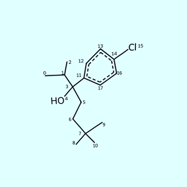 CC(C)C(O)(CCC(C)(C)C)c1ccc(Cl)cc1